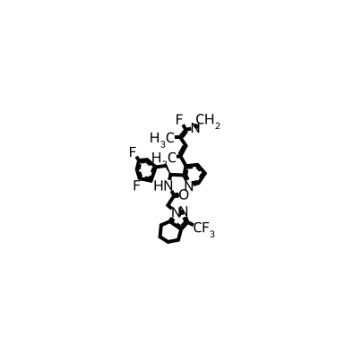 C=N/C(F)=C(C)\C=C(/C)c1cccnc1[C@H](Cc1cc(F)cc(F)c1)NC(=O)Cn1nc(C(F)(F)F)c2c1CCCC2